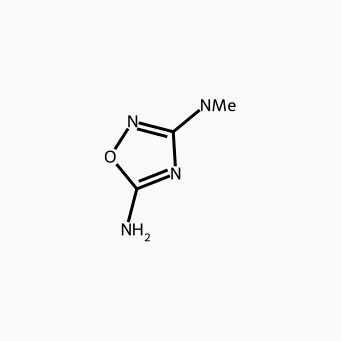 CNc1noc(N)n1